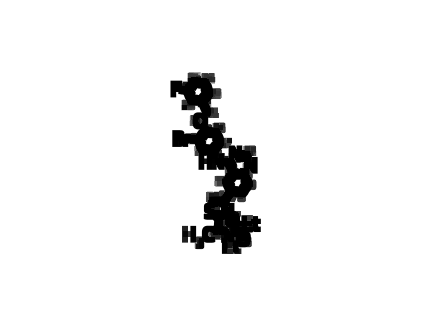 CCN(C(C)c1nc(-c2ccc3ncnc(Nc4ccc(OCc5cccc(F)c5)c(Br)c4)c3c2)cs1)S(=O)(=O)CC